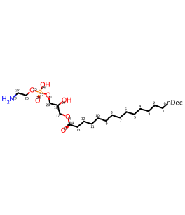 CCCCCCCCCCCCCCCCCCCCCCCC(=O)OCC(O)COP(=O)(O)OCCN